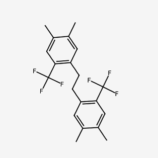 Cc1cc(CCc2cc(C)c(C)cc2C(F)(F)F)c(C(F)(F)F)cc1C